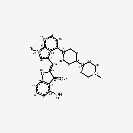 CN1CCN(C2CCN(c3ccnc4c3c(/C=C3\Oc5cccc(O)c5C3=O)cn4C)CC2)CC1